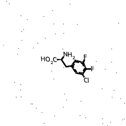 N[C@@H](Cc1cc(F)c(F)c(Cl)c1)C(=O)O